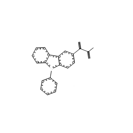 O=C([O-])C(=O)c1ccc2c(c1)c1ccccc1n2-c1ccccc1.[K+]